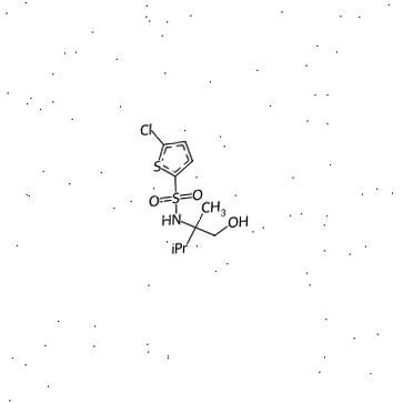 CC(C)C(C)(CO)NS(=O)(=O)c1ccc(Cl)s1